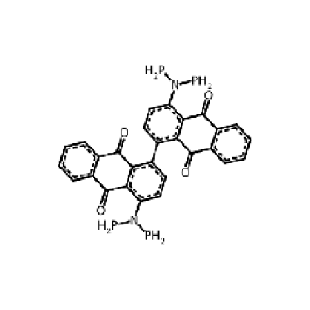 O=C1c2ccccc2C(=O)c2c(N(P)P)ccc(-c3ccc(N(P)P)c4c3C(=O)c3ccccc3C4=O)c21